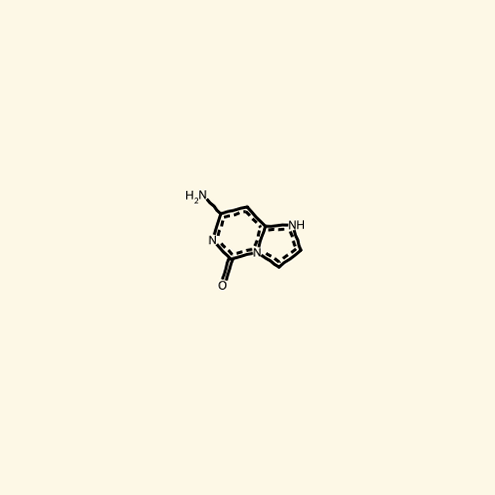 Nc1cc2[nH]ccn2c(=O)n1